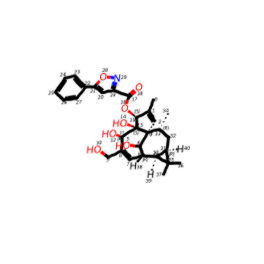 CC1=C[C@]23C(O)[C@@H](C=C(CO)[C@@H](O)[C@]2(O)[C@H]1OC(=O)c1cc(-c2ccccc2)on1)[C@H]1[C@@H](C[C@H]3C)C1(C)C